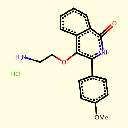 COc1ccc(-c2[nH]c(=O)c3ccccc3c2OCCN)cc1.Cl